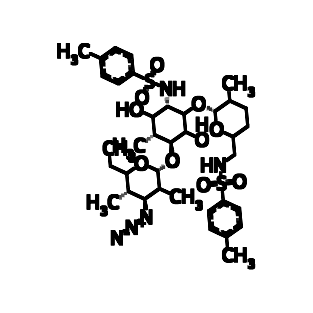 CCC1O[C@H](O[C@@H]2C(O)C(O[C@H]3OC(CNS(=O)(=O)c4ccc(C)cc4)CCC3C)[C@@H](NS(=O)(=O)c3ccc(C)cc3)C(O)[C@H]2C)C(C)[C@@H](N=[N+]=[N-])[C@@H]1C